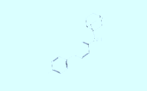 O=C(/C=C\Sc1ccc(F)cc1)NC1CN2CCC1CC2